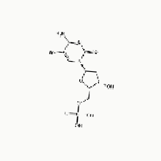 Nc1nc(=O)n([C@H]2C[C@H](O)[C@@H](COP(=O)(O)O)O2)cc1Br